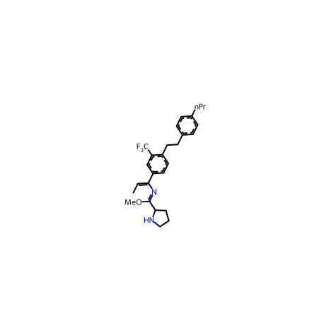 C/C=C(\N=C(/OC)C1CCCN1)c1ccc(CCc2ccc(CCC)cc2)c(C(F)(F)F)c1